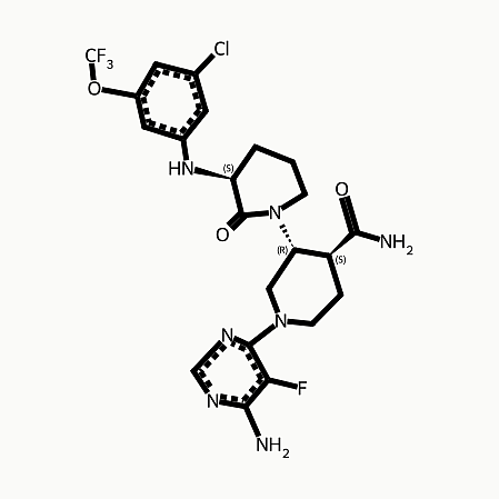 NC(=O)[C@H]1CCN(c2ncnc(N)c2F)C[C@@H]1N1CCC[C@H](Nc2cc(Cl)cc(OC(F)(F)F)c2)C1=O